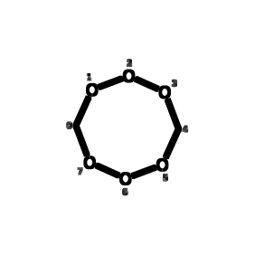 C1OOOCOOO1